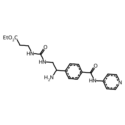 CCOC(=O)CCNC(=O)NCC(N)c1ccc(C(=O)Nc2ccncc2)cc1